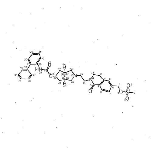 CS(=O)(=O)OCc1ccc2c(c1)CCN(CCN1C[C@H]3C[C@H](OC(=O)Nc4ccccc4-c4ccccc4)C[C@H]3C1)C2=O